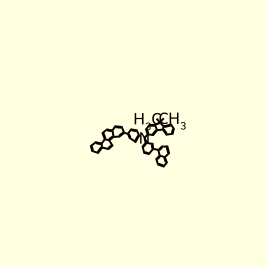 CC1(C)c2ccccc2-c2cc(N(c3ccc(-c4ccc5ccc6c7ccccc7ccc6c5c4)cc3)c3cccc(-c4cccc5ccccc45)c3)ccc21